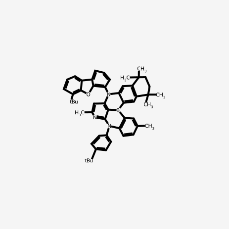 Cc1ccc2c(c1)B1c3cc4c(cc3N(c3cccc5c3oc3c(C(C)(C)C)cccc35)c3cc(C)nc(c31)N2c1ccc(C(C)(C)C)cc1)C(C)(C)CCC4(C)C